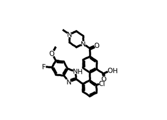 COc1cc2[nH]c(-c3cccc(Cl)c3-c3ccc(C(=O)N4CCN(C)CC4)cc3C(=O)O)nc2cc1F